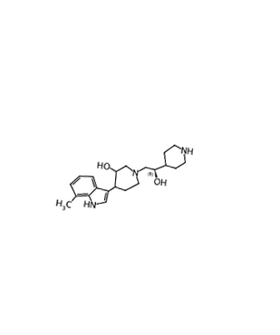 Cc1cccc2c(C3CCN(C[C@H](O)C4CCNCC4)CC3O)c[nH]c12